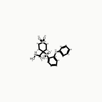 O=C(NO)C1(S(=O)(=O)c2ccccc2Oc2ccccc2)CCS(=O)(=O)CC1